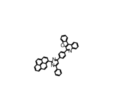 c1ccc(-c2cc(-c3ccc(-c4nc5ccccc5c5c4oc4ccccc45)cc3)nc(-c3ccc4ccc5cccc6ccc3c4c56)n2)cc1